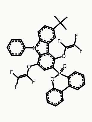 CC(C)(C)c1ccc2c(c1)c1c(OC(F)=C(F)F)c(P3(=O)Oc4ccccc4-c4ccccc43)cc(OC(F)=C(F)F)c1n2-c1ccccc1